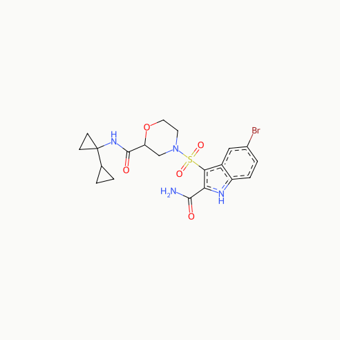 NC(=O)c1[nH]c2ccc(Br)cc2c1S(=O)(=O)N1CCOC(C(=O)NC2(C3CC3)CC2)C1